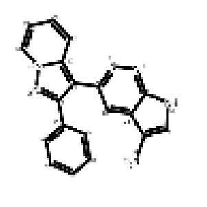 Nc1c[nH]c2nnc(-c3c(-c4ccccc4)nn4ccccc34)cc12